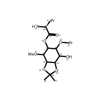 COC1C(OC(=O)[C@@H](N)C(C)C)C(OC(C)C)C(O)C2OC(C)(C)OC21